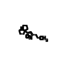 CCCc1cc(C23CCCN2CCC3)on1